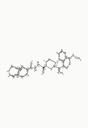 C=C(c1ccc(OC)c2ccccc12)N1CCC[C@H](C(=O)NNC(=O)c2ccc3ccccc3c2)C1